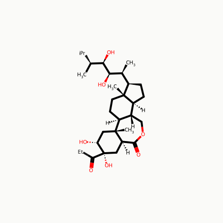 CCC(=O)[C@]1(O)C[C@@H]2C(=O)OC[C@@H]3[C@H](CC[C@]4(C)[C@@H]([C@H](C)[C@@H](O)[C@H](O)[C@@H](C)C(C)C)CC[C@@H]34)[C@@]2(C)C[C@H]1O